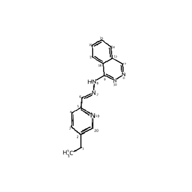 CCc1ccc(C=NNc2nncc3ccccc23)nc1